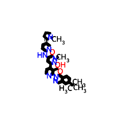 CN1CCC[C@H]1c1ccc(Nc2cc(-c3ccnc(-n4ncc5cc(C(C)(C)C)ccc5c4=O)c3CO)nn(C)c2=O)nc1